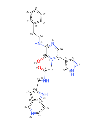 O=C(Cn1c(-c2cn[nH]c2)cnc(NCCc2ccccc2)c1=O)NCc1cc2cnccc2[nH]1